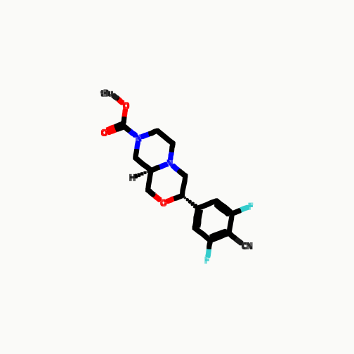 CC(C)(C)OC(=O)N1CCN2C[C@H](c3cc(F)c(C#N)c(F)c3)OC[C@H]2C1